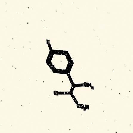 NN(c1ccc(F)cc1)C(Cl)C(=O)O